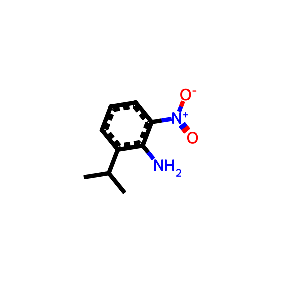 CC(C)c1cccc([N+](=O)[O-])c1N